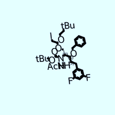 CC(=O)N[C@@H](Cc1cc(F)cc(F)c1)[C@@H](OCc1ccccc1)[C@@H](COC(CI)OCCC(C)(C)C)NC(=O)OC(C)(C)C